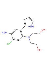 Nc1cc(-c2ccc[nH]2)c(N(CCO)CCO)cc1Cl